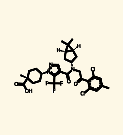 Cc1cc(Cl)c(C(=O)CN(C(=O)c2cnn([C@H]3CC[C@](C)(C(=O)O)CC3)c2C(F)(F)F)[C@@H]2C[C@@H]3[C@H](C2)C3(C)C)c(Cl)c1